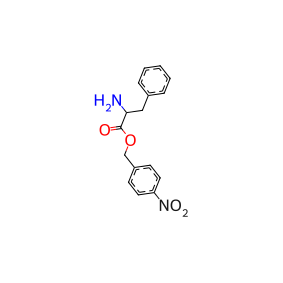 NC(Cc1ccccc1)C(=O)OCc1ccc([N+](=O)[O-])cc1